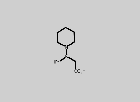 CC(C)N(CC(=O)O)N1CCCCC1